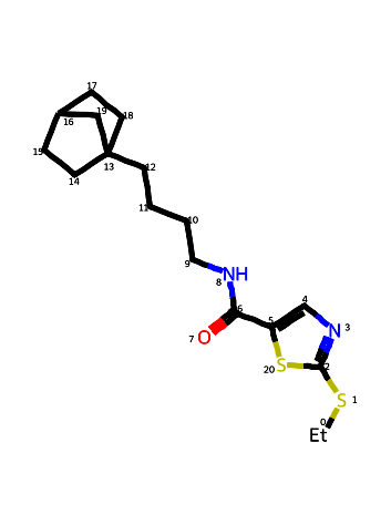 CCSc1ncc(C(=O)NCCCCC23CCC(CC2)C3)s1